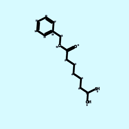 O=C(CCCCCC(O)S)OCc1ccccc1